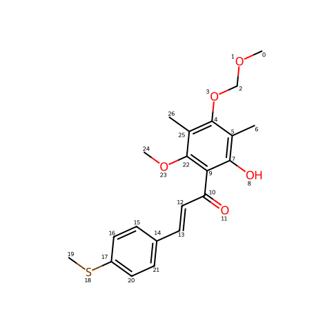 COCOc1c(C)c(O)c(C(=O)C=Cc2ccc(SC)cc2)c(OC)c1C